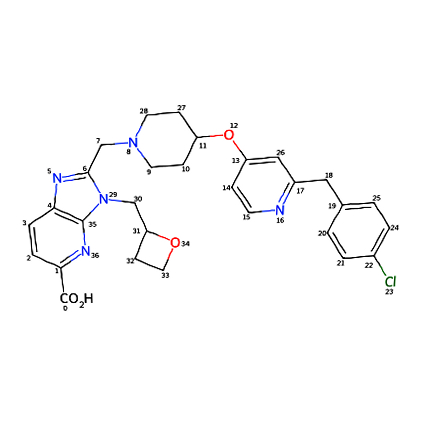 O=C(O)c1ccc2nc(CN3CCC(Oc4ccnc(Cc5ccc(Cl)cc5)c4)CC3)n(CC3CCO3)c2n1